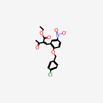 CCOC(=O)C(=Cc1cc([N+](=O)[O-])ccc1OCc1ccc(Cl)cc1)C(C)=O